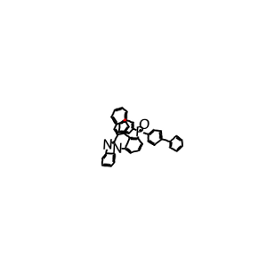 O=P(c1ccccc1)(c1ccc(-c2ccccc2)cc1)c1cccc2c1c1cc3ccccc3cc1c1nc3ccccc3n21